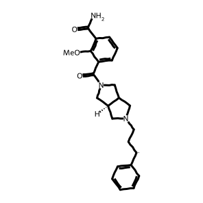 COc1c(C(N)=O)cccc1C(=O)N1CC2CN(CC[CH]c3ccccc3)C[C@H]2C1